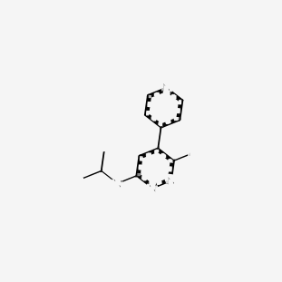 CC(C)Nc1cc(-c2ccncc2)c(Cl)nn1